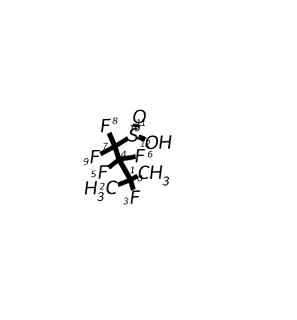 CC(C)(F)C(F)(F)C(F)(F)S(=O)O